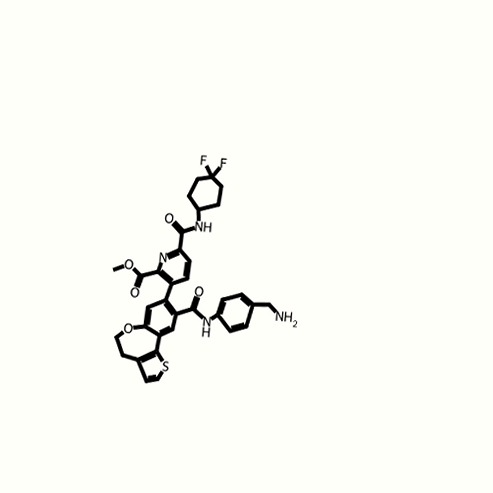 COC(=O)c1nc(C(=O)NC2CCC(F)(F)CC2)ccc1-c1cc2c(cc1C(=O)Nc1ccc(CN)cc1)-c1sccc1CCO2